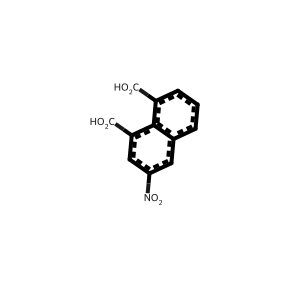 O=C(O)c1cccc2cc([N+](=O)[O-])cc(C(=O)O)c12